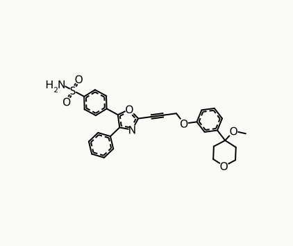 COC1(c2cccc(OCC#Cc3nc(-c4ccccc4)c(-c4ccc(S(N)(=O)=O)cc4)o3)c2)CCOCC1